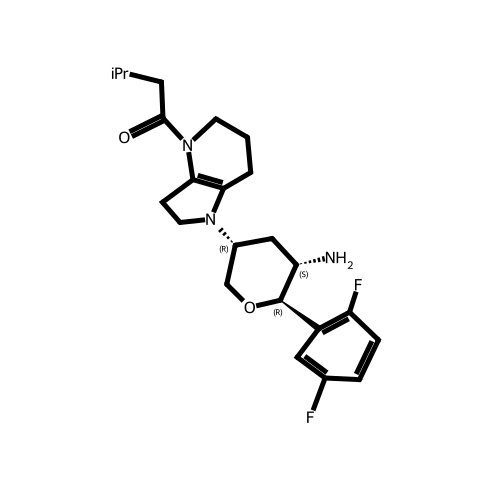 CC(C)CC(=O)N1CCCC2=C1CCN2[C@H]1CO[C@H](c2cc(F)ccc2F)[C@@H](N)C1